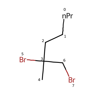 CCCCCC(C)(Br)CBr